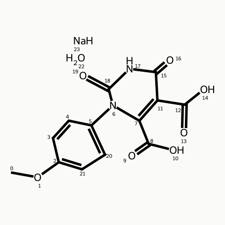 COc1ccc(-n2c(C(=O)O)c(C(=O)O)c(=O)[nH]c2=O)cc1.O.[NaH]